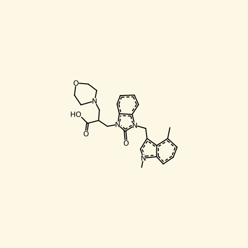 Cc1cccc2c1c(Cn1c(=O)n(CC(CN3CCOCC3)C(=O)O)c3ccccc31)cn2C